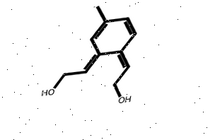 [CH2]c1ccc(=CCO)c(=CCO)c1